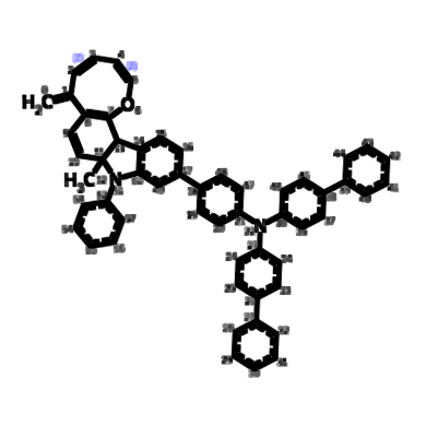 C=C1/C=C\C=C/OC2=C1C=CC1(C)C2c2ccc(-c3ccc(N(c4ccc(-c5ccccc5)cc4)c4ccc(-c5ccccc5)cc4)cc3)cc2N1c1ccccc1